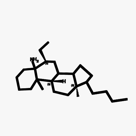 CCCCC1CCC2C3C[C@H](CC)C4(N)CCCCC4(C)[C@H]3CC[C@]12C